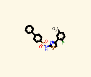 O=[N+]([O-])c1ccc(Cl)c(-c2csc(NS(=O)(=O)c3ccc(-c4ccccc4)cc3)n2)c1